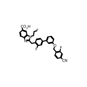 N#Cc1ccc(COc2cccc(-c3ccc(Cc4nc5ccc(C(=O)O)cc5n4CCF)c(F)c3)c2)c(F)c1